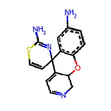 NC1=NC2(C=CS1)C1=CC=NCC1Oc1ccc(N)cc12